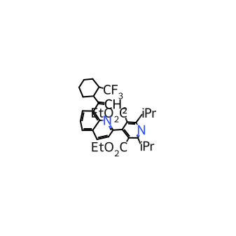 C=C(c1cccc2ccc(-c3c(C(=O)OCC)c(C(C)C)nc(C(C)C)c3C(=O)OCC)nc12)C1CCCCC1C(F)(F)F